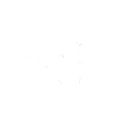 CC(C)(C)n1cnc2c(NC3CC3)nc(N)nc21